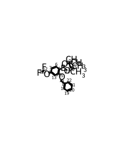 CC1(C)OB(c2ccc(OC(F)F)cc2OCc2ccccc2)OC1(C)C